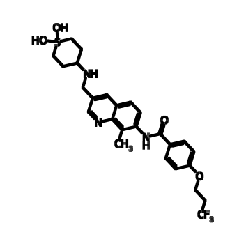 Cc1c(NC(=O)c2ccc(OCCC(F)(F)F)cc2)ccc2cc(CNC3CCS(O)(O)CC3)cnc12